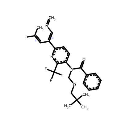 C=N/C=C(\C=C(/C)F)c1ccc(N(COCC(C)(C)C)C(=O)c2ccccc2)c(C(F)(F)F)n1